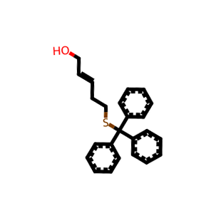 OC/C=C/CCSC(c1ccccc1)(c1ccccc1)c1ccccc1